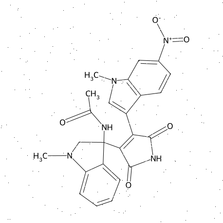 CC(=O)NC1(C2=C(c3cn(C)c4cc([N+](=O)[O-])ccc34)C(=O)NC2=O)CN(C)c2ccccc21